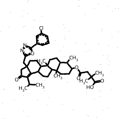 CC(C)C1=C2C3CCC4C(C)(CCC5C(C)C(OC(=O)CC(C)(C)C(=O)O)CCC54C)C3CCC2(Cc2nnc(-c3cccc(Cl)c3)o2)CC1=O